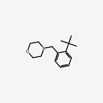 CC(C)(C)c1ccccc1CN1CCOCC1